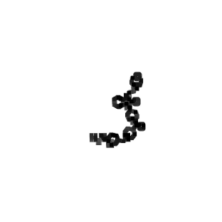 Nc1ccc(CN2CCC(C(=O)N3CCC(n4c(=O)n(CCN5CCOCC5)c5ccccc54)CC3)CC2)cn1